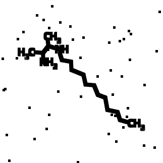 CCCCCCCCCCCCNC(C)C(C)N